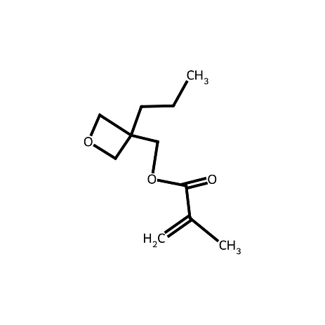 C=C(C)C(=O)OCC1(CCC)COC1